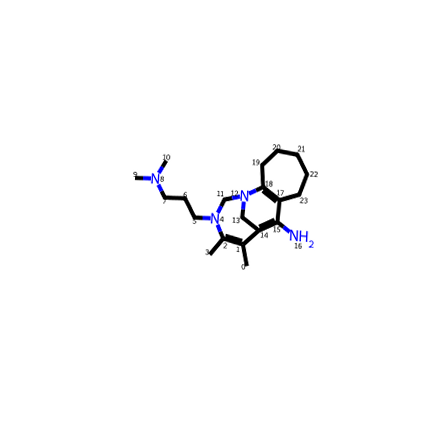 CC1=C(C)N(CCCN(C)C)CN2CC1=C(N)C1=C2CCCCC1